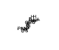 CC(C)NC(=O)c1csc(CN2CCN(C(=O)c3ccc(NC(=O)NCC4CC4)c(F)c3)CC2)n1